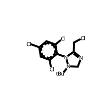 CC(C)(C)N1CN=C(CCl)N1c1c(Cl)cc(Cl)cc1Cl